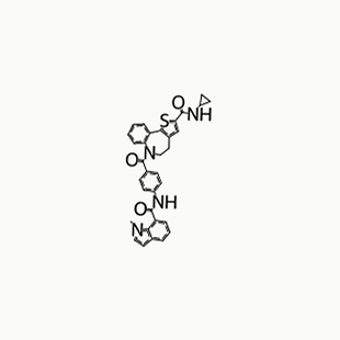 Cn1ccc2cccc(C(=O)Nc3ccc(C(=O)N4CCc5cc(C(=O)NC6CC6)sc5-c5ccccc54)cc3)c21